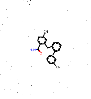 N#Cc1cccc(-c2ccccc2Cc2cc(C#N)ccc2C(N)=O)c1